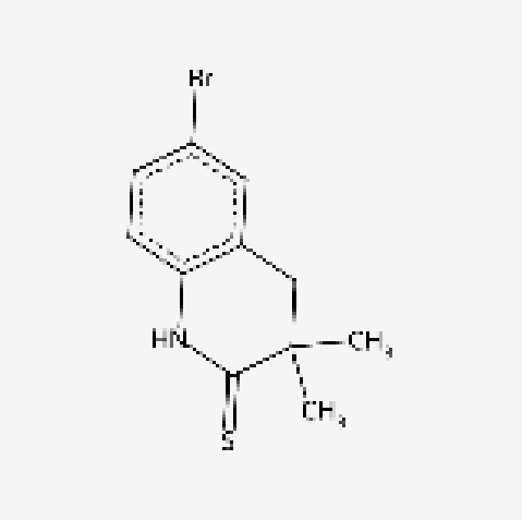 CC1(C)Cc2cc(Br)ccc2NC1=S